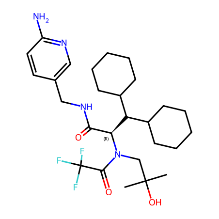 CC(C)(O)CN(C(=O)C(F)(F)F)[C@@H](C(=O)NCc1ccc(N)nc1)C(C1CCCCC1)C1CCCCC1